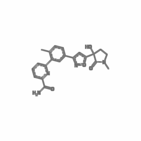 Cc1ccc(-c2cc(C3(O)CCN(C)C3=O)on2)cc1-c1cccc(C(N)=O)n1